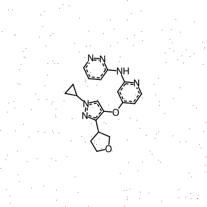 c1cnnc(Nc2cc(Oc3cn(C4CC4)nc3C3CCOC3)ccn2)c1